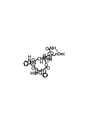 CCCCCCCCCCCC(=O)N[C@H](CCC(N)=O)C(=O)N[C@@H]1C(=O)NCCC(=O)N[C@H](Cc2c[nH]c3ccccc23)C(=O)N[C@@H](CO)C(=O)N[C@H](Cc2ccccc2)C(=O)O[C@@H]1C